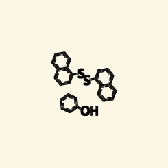 Oc1ccccc1.c1ccc2c(SSc3cccc4ccccc34)cccc2c1